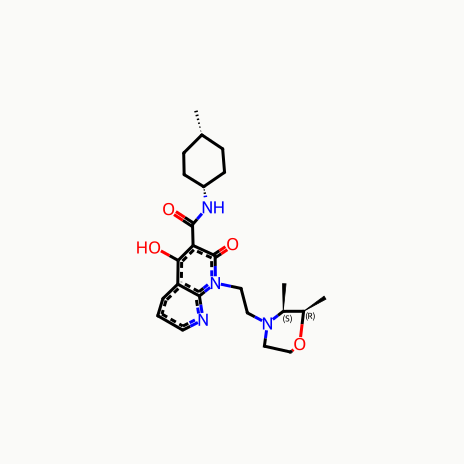 C[C@H]1OCCN(CCn2c(=O)c(C(=O)N[C@H]3CC[C@@H](C)CC3)c(O)c3cccnc32)[C@H]1C